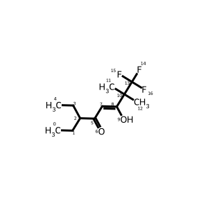 CCC(CC)C(=O)/C=C(\O)C(C)(C)C(F)(F)F